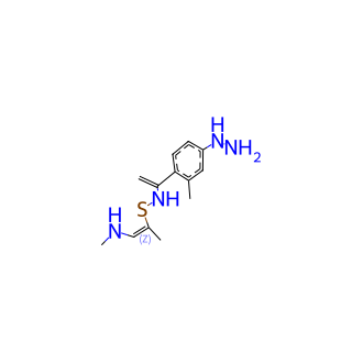 C=C(NS/C(C)=C\NC)c1ccc(NN)cc1C